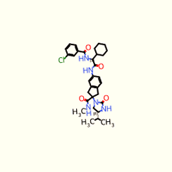 CNC(=O)C1(N2C[C@@H](C(C)C)NC2=O)Cc2ccc(NC(=O)[C@@H](NC(=O)c3cccc(Cl)c3)C3CCCCC3)cc2C1